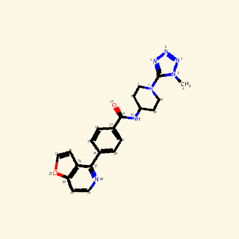 Cn1nnnc1N1CCC(NC(=O)c2ccc(-c3nccc4occc34)cc2)CC1